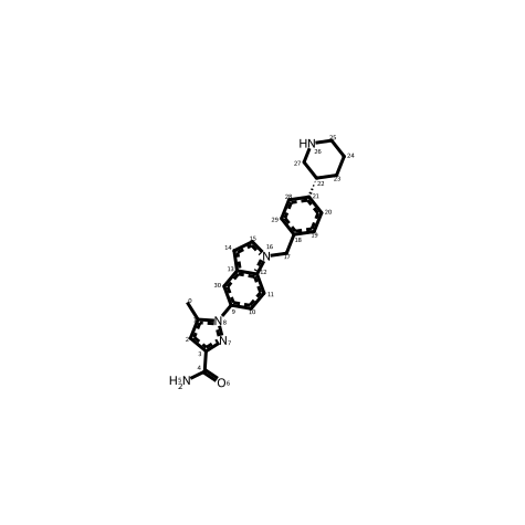 Cc1cc(C(N)=O)nn1-c1ccc2c(ccn2Cc2ccc([C@H]3CCCNC3)cc2)c1